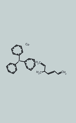 C=CC=CC(C)C=C.[Co].c1ccc(P(c2ccccc2)c2ccccc2)cc1